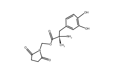 C[C@](N)(Cc1ccc(O)c(O)c1)C(=O)OCN1C(=O)CCC1=O